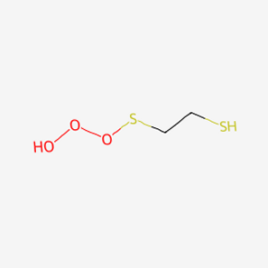 OOOSCCS